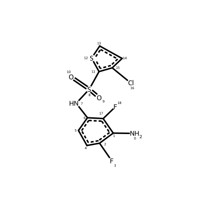 Nc1c(F)ccc(NS(=O)(=O)c2sccc2Cl)c1F